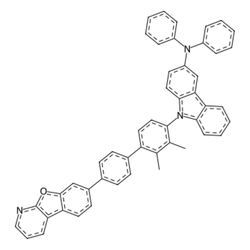 Cc1c(-c2ccc(-c3ccc4c(c3)oc3ncccc34)cc2)ccc(-n2c3ccccc3c3cc(N(c4ccccc4)c4ccccc4)ccc32)c1C